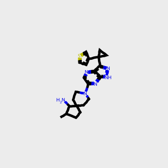 CC1CCC2(CCN(c3cnc4c(C5(c6ccsc6)CC5)n[nH]c4n3)CC2)C1N